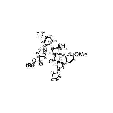 COc1ccc([C@@H]2CN(C3CCCC3)C[C@@]2(F)C(=O)N2C[C@H](c3ccc(C(F)(F)F)cc3N3CCC(C(=O)OC(C)(C)C)CC3)[C@@H](C)C2)cc1